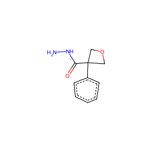 NNC(=O)C1(c2ccccc2)COC1